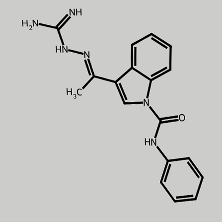 CC(=NNC(=N)N)c1cn(C(=O)Nc2ccccc2)c2ccccc12